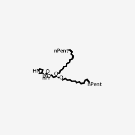 CCCCC/C=C\C/C=C\CCCCCCCCOC[C@H](CCOC(=O)N(CCC)C1CCNC1)OCCCCCCCC/C=C\C/C=C\CCCCC